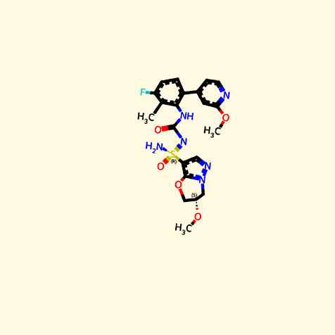 COc1cc(-c2ccc(F)c(C)c2NC(=O)N=[S@@](N)(=O)c2cnn3c2OC[C@@H](OC)C3)ccn1